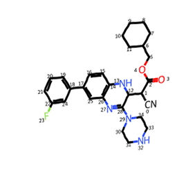 N#CC(C(=O)OCC1CCCCC1)C1Nc2ccc(-c3cccc(F)c3)cc2N=C1N1CCNCC1